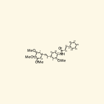 COc1cc(C=Cc2cc(OC)c(OC)c(OC)c2)ccc1NC(=O)C=Cc1ccccc1